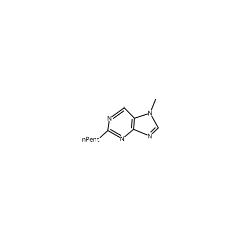 CCCCCc1n[c]c2c(ncn2C)n1